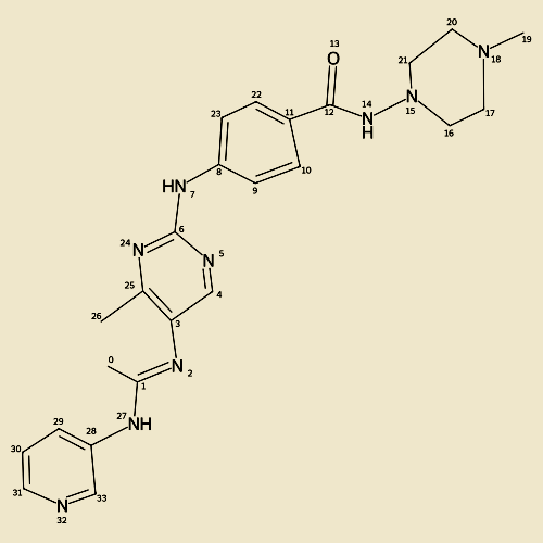 C/C(=N\c1cnc(Nc2ccc(C(=O)NN3CCN(C)CC3)cc2)nc1C)Nc1cccnc1